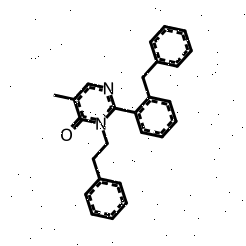 Cc1cnc(-c2ccccc2Cc2ccccc2)n(CCc2ccccc2)c1=O